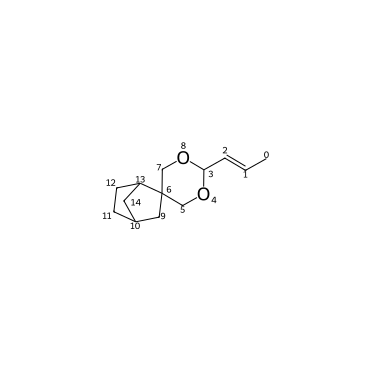 CC=CC1OCC2(CO1)CC1CCC2C1